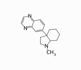 CN1CCC2(c3ccc4nccnc4c3)CCCCC12